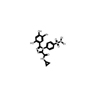 CCN(CC)S(=O)(=O)c1ccc(-n2c(C(=O)NC3CC3)nnc2-c2cc(C(C)C)c(O)cc2O)cc1